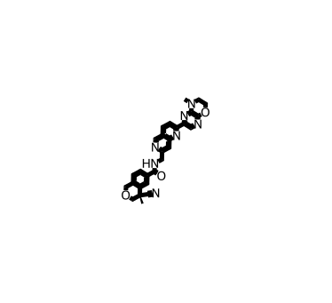 CN1CCOc2ncc(-c3ccc4cnc(CNC(=O)c5ccc6c(c5)[C@](C)(C#N)COC6)cc4n3)nc21